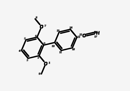 COc1cccc(OC)c1-c1ccccc1.O=P